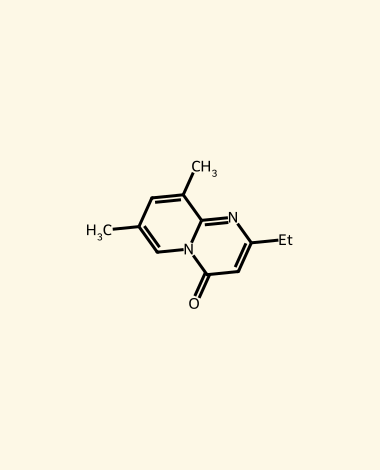 CCc1cc(=O)n2cc(C)cc(C)c2n1